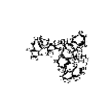 CC1(C)c2cc(-c3cccc4ccccc34)ccc2N2c3ccc(-c4cccc5ccccc45)cc3C(C)(C)c3c2c1cc1c3oc2ccccc21